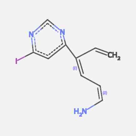 C=C/C(=C\C=C/N)c1cc(I)ncn1